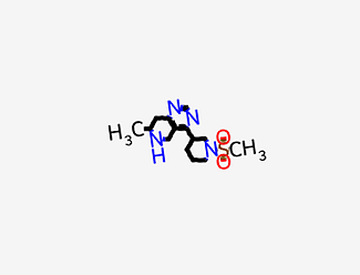 CC1Cc2ncnc(C3CCCN(S(C)(=O)=O)C3)c2CN1